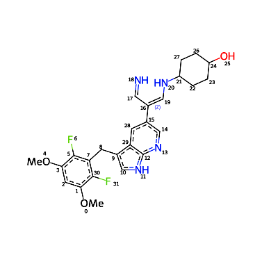 COc1cc(OC)c(F)c(Cc2c[nH]c3ncc(/C(C=N)=C/NC4CCC(O)CC4)cc23)c1F